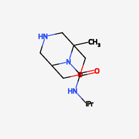 CC(C)NC(=O)N1C2CNCC1(C)COC2